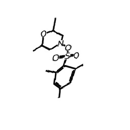 Cc1cc(C)c(S(=O)(=O)ON2CC(C)OC(C)C2)c(C)c1